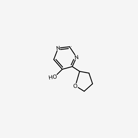 Oc1cn[c]nc1C1CCCO1